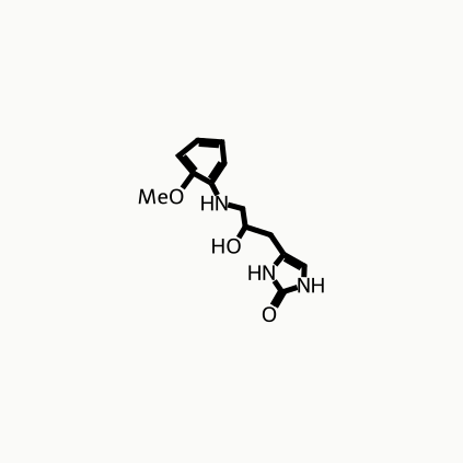 COc1ccccc1NCC(O)Cc1c[nH]c(=O)[nH]1